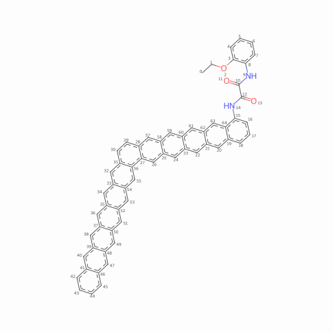 CCOc1ccccc1NC(=O)C(=O)Nc1cccc2cc3cc4cc5cc6c(ccc7cc8cc9cc%10cc%11cc%12ccccc%12cc%11cc%10cc9cc8cc76)cc5cc4cc3cc12